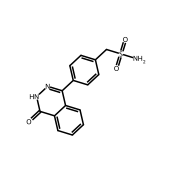 NS(=O)(=O)Cc1ccc(-c2n[nH]c(=O)c3ccccc23)cc1